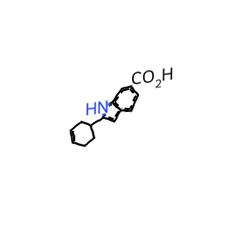 O=C(O)c1ccc2cc(C3CC=CCC3)[nH]c2c1